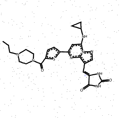 CCCN1CCN(C(=O)c2ccc(-c3cc(NC4CC4)n4ncc(/C=C5\NC(=O)NC5=O)c4n3)s2)CC1